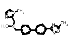 Cc1nc(-c2ccc(-c3ccc(CN(C)Cc4nccn4C)cc3)cc2)no1